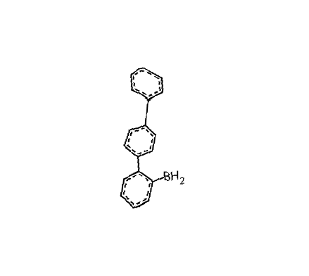 Bc1ccccc1-c1ccc(-c2ccccc2)cc1